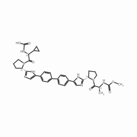 COC(=O)N[C@@H](C)C(=O)N1CCC[C@H]1c1ncc(-c2ccc(-c3ccc(-c4cnc([C@@H]5CCCN5C(=O)[C@@H](NC(=O)O)C5CC5)[nH]4)cc3)cc2)[nH]1